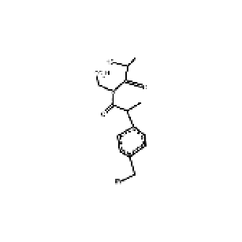 CC(C)Cc1ccc(C(C)C(=O)N(CC(=O)O)C(=O)C(C)S)cc1